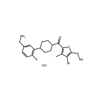 CCCOc1sc(C(=O)N2CCC(c3cc(CN)ccc3F)CC2)c(C)c1Br.Cl